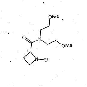 CCN1CC[C@H]1C(=O)N(CCOC)CCOC